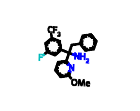 COc1cccc(C(N)(Cc2ccccc2)c2cc(F)cc(C(F)(F)F)c2)n1